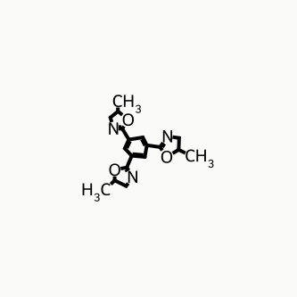 CC1CN=C(c2cc(C3=NCC(C)O3)cc(C3=NCC(C)O3)c2)O1